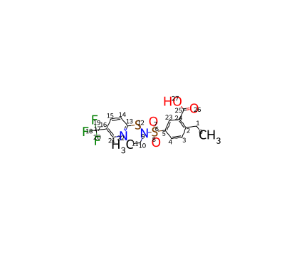 CCc1ccc(S(=O)(=O)N(CC)Sc2ccc(C(F)(F)F)cn2)cc1C(=O)O